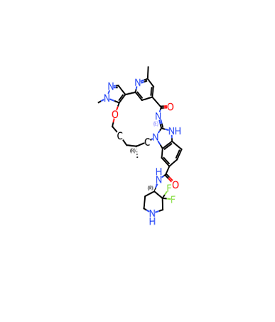 Cc1cc2cc(n1)-c1cnn(C)c1OCCC[C@@H](C)CN1/C(=N/C2=O)Nc2ccc(C(=O)N[C@@H]3CCNCC3(F)F)cc21